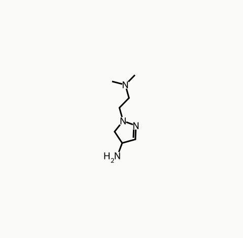 CN(C)CCN1CC(N)C=N1